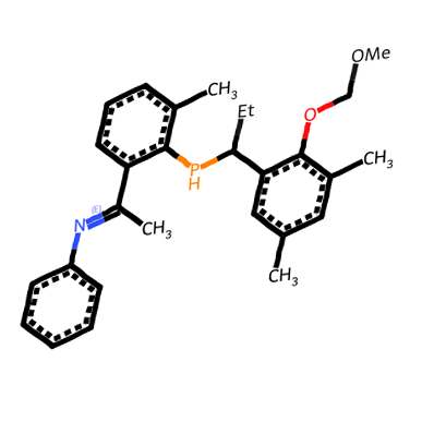 CCC(Pc1c(C)cccc1/C(C)=N/c1ccccc1)c1cc(C)cc(C)c1OCOC